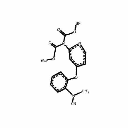 CN(C#N)c1ccccc1Oc1ccnc(N(C(=O)OC(C)(C)C)C(=O)OC(C)(C)C)c1